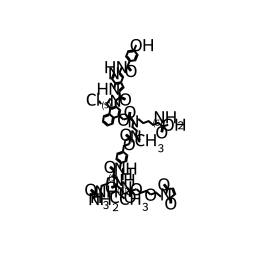 CC(C)[C@H](NC(=O)OCCOCCN1C(=O)C=CC1=O)C(=O)N[C@@H](CCCNC(N)=O)C(=O)Nc1ccc(COC(=O)N(C)CCN(CCCC[C@H](N)C(=O)O)C(=O)Oc2cc3c(c4ccccc24)[C@H](CCl)CN3C(=O)c2cc3cc(NC(=O)c4ccc(O)cc4)ncc3[nH]2)cc1